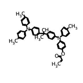 C=CC(=O)Oc1ccc(N(c2ccc(C)cc2)c2ccc(C(C)(C)c3ccc(N(c4ccc(C)cc4)c4ccc(C)cc4)cc3)cc2)cc1